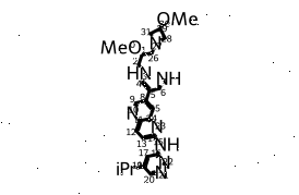 COC(CN/C=C(\C=N)c1cnc2ccc(Nc3cc(C(C)C)cnn3)nc2c1)CN1CC(OC)C1